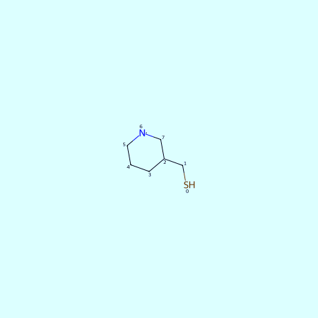 SCC1CCC[N]C1